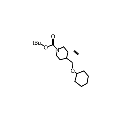 C=C.CC(C)(C)OC(=O)N1CCC(COC2CCCCC2)CC1